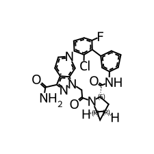 NC(=O)c1nn(CC(=O)N2[C@@H]3C[C@@H]3C[C@H]2C(=O)Nc2cccc(-c3c(F)cccc3Cl)c2)c2cnccc12